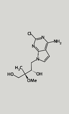 CO[C@](C)(CO)[C@@H](O)Cn1ccc2c(N)nc(Cl)nc21